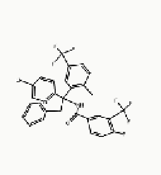 Cc1ccc(C(F)(F)F)cc1C(Cc1ccccc1)(NC(=O)c1ccc(F)c(C(F)(F)F)c1)c1ccc(Cl)cn1